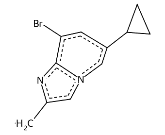 [CH2]c1cn2cc(C3CC3)cc(Br)c2n1